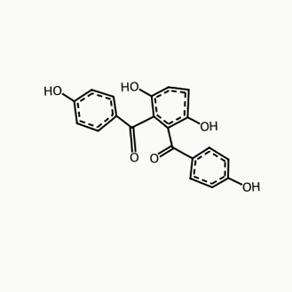 O=C(c1ccc(O)cc1)c1c(O)ccc(O)c1C(=O)c1ccc(O)cc1